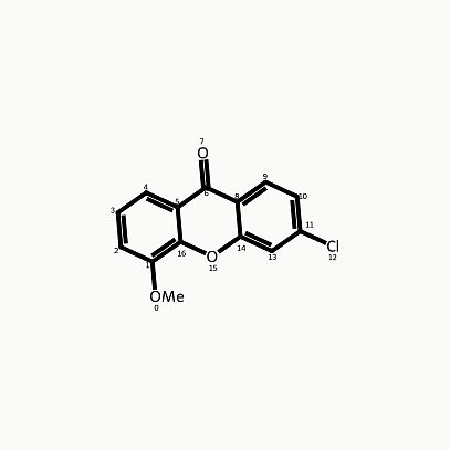 COc1cccc2c(=O)c3ccc(Cl)cc3oc12